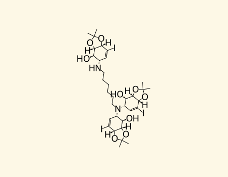 CC1(C)O[C@H]2[C@H](O)[C@@H](NCCCCCCN([C@H]3C=C(I)[C@H]4OC(C)(C)O[C@H]4[C@@H]3O)[C@H]3C=C(I)[C@H]4OC(C)(C)O[C@H]4[C@@H]3O)C=C(I)[C@H]2O1